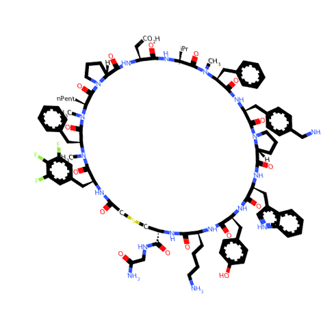 CCCCC[C@H]1C(=O)N2CCC[C@@H]2C(=O)N[C@@H](CC(=O)O)C(=O)N[C@@H](C(C)C)C(=O)N(C)[C@@H](Cc2ccccc2)C(=O)N[C@@H](Cc2ccc(CN)cc2)C(=O)N2CCC[C@@H]2C(=O)N[C@@H](Cc2c[nH]c3ccccc23)C(=O)N[C@@H](Cc2ccc(O)cc2)C(=O)N[C@@H](CCCCN)C(=O)N[C@H](C(=O)NCC(N)=O)CSCC(=O)N[C@@H](Cc2cc(F)c(F)c(F)c2)C(=O)N(C)[C@@H](Cc2ccccc2)C(=O)N1C